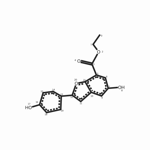 CCOC(=O)c1cc(O)cc2cc(-c3ccc(O)cc3)oc12